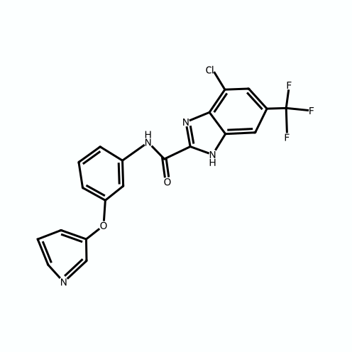 O=C(Nc1cccc(Oc2cccnc2)c1)c1nc2c(Cl)cc(C(F)(F)F)cc2[nH]1